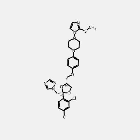 CSc1nccn1N1CCN(c2ccc(OC[C@@H]3CO[C@@](Cn4cncn4)(c4ccc(Cl)cc4Cl)O3)cc2)CC1